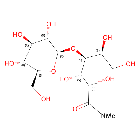 CNC(=O)[C@@H](O)[C@H](O)[C@@H](O[C@H]1O[C@@H](CO)[C@H](O)[C@@H](O)[C@@H]1O)[C@@H](O)CO